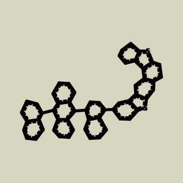 c1ccc2c(-c3c4ccccc4c(-c4ccc(-c5ccc6sc7cc8ccc9sc%10ccccc%10c9c8cc7c6c5)c5ccccc45)c4ccccc34)cccc2c1